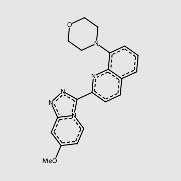 COc1ccn2c(-c3ccc4cccc(N5CCOCC5)c4n3)nnc2c1